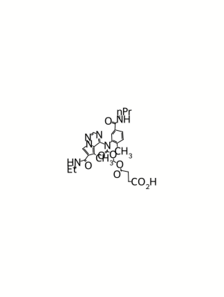 CCCNC(=O)c1ccc(C)c(N(C(=O)OCOC(=O)CCC(=O)O)c2ncnn3cc(C(=O)NCC)c(C)c23)c1